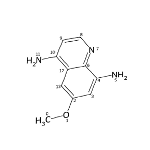 COc1cc(N)c2nccc(N)c2c1